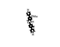 COc1cc(NC(=O)c2ccc(C3=CCNCC3)c(F)c2)c(C)cc1C1=CCNCC1